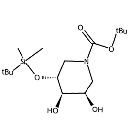 CC(C)(C)OC(=O)N1C[C@@H](O)[C@@H](O)[C@H](O[Si](C)(C)C(C)(C)C)C1